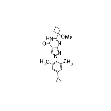 COC1(c2nc3nn(-c4c(C)cc(C5CC5)cc4C)cc3c(=O)[nH]2)CCC1